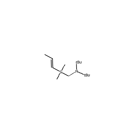 CC=C[Si](C)(C)CN(C(C)(C)C)C(C)(C)C